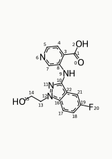 O=C(O)c1ccncc1Nc1nn(CCO)c2ccc(F)cc12